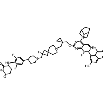 CCc1c(F)ccc2cc(O)cc(-c3ncc4c(N5CC6CCC(C5)N6)nc(OCC5(CN6CCC7(CC6)CC(F)(CN6CCC(c8cc(F)c(NC9CCC(=O)NC9=O)c(F)c8)CC6)C7)CC5)nc4c3F)c12